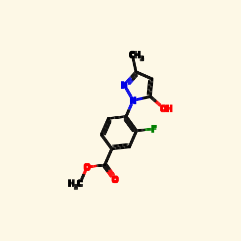 COC(=O)c1ccc(-n2nc(C)cc2O)c(F)c1